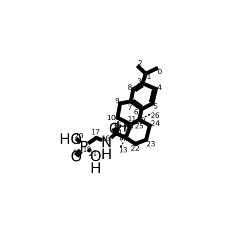 CC(C)c1ccc2c(c1)CC[C@H]1[C@](C)(C(=O)NCP(=O)(O)O)CCC[C@]21C